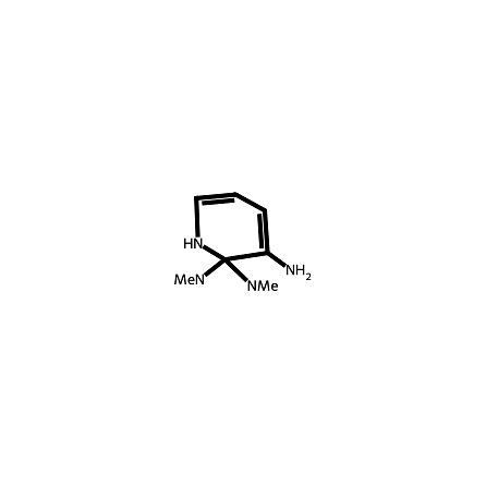 CNC1(NC)NC=CC=C1N